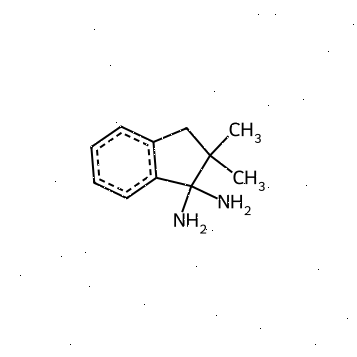 CC1(C)Cc2ccccc2C1(N)N